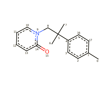 Cc1ccc(C(C)(C)Cn2ccccc2=O)cc1